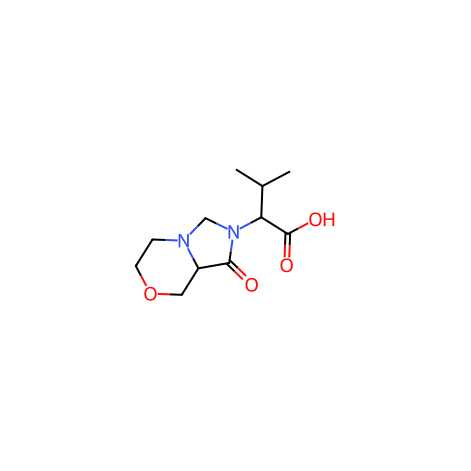 CC(C)C(C(=O)O)N1CN2CCOCC2C1=O